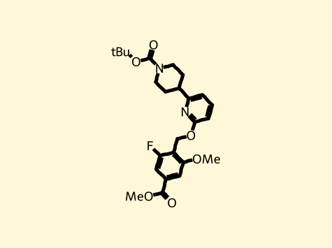 COC(=O)c1cc(F)c(COc2cccc(C3CCN(C(=O)OC(C)(C)C)CC3)n2)c(OC)c1